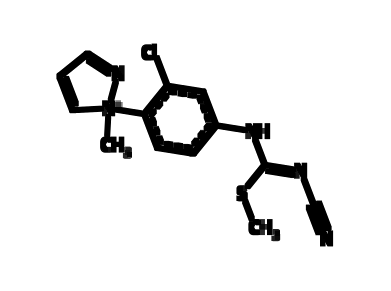 CS/C(=N\C#N)Nc1ccc([N+]2(C)C=CC=N2)c(Cl)c1